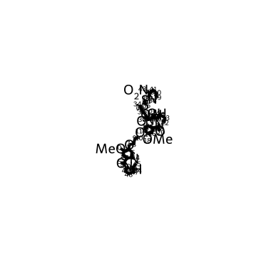 COc1cc2c(cc1OCCCOc1cc3c(cc1OC)C(=O)N1CCC[C@H]1C(O)N3C(=O)OC[C@@H](C)SSc1ncccc1[N+](=O)[O-])N=C[C@@H]1CCCN1C2=O